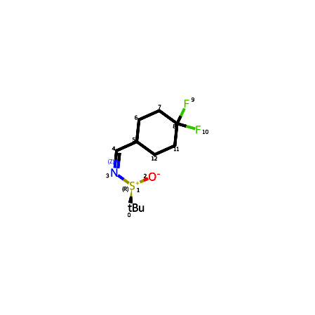 CC(C)(C)[S@+]([O-])/N=C\C1CCC(F)(F)CC1